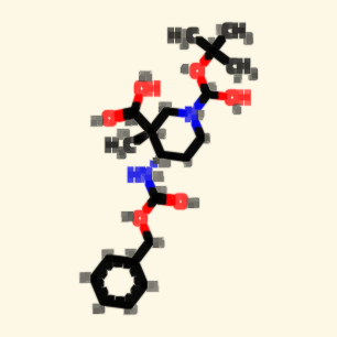 CC(C)(C)OC(O)N1CC[C@H](NC(=O)OCc2ccccc2)[C@](C)(C(=O)O)C1